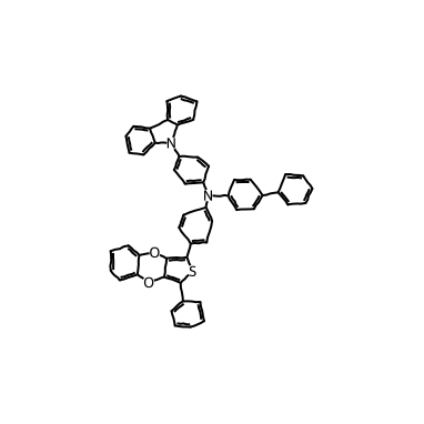 c1ccc(-c2ccc(N(c3ccc(-c4sc(-c5ccccc5)c5c4Oc4ccccc4O5)cc3)c3ccc(-n4c5ccccc5c5ccccc54)cc3)cc2)cc1